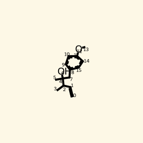 C=CC(C)C(C)(O)Cc1ccc(OC)cc1